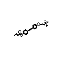 CCCC(=O)Oc1ccc(C#Cc2ccc(OCCCC(F)(F)F)cc2)cc1